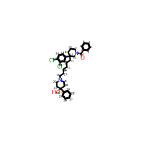 O=C(c1ccccc1)N1CCCC(CCCCCCN2CCC(O)(c3ccccc3)CC2)(c2ccc(Cl)c(Cl)c2)C1